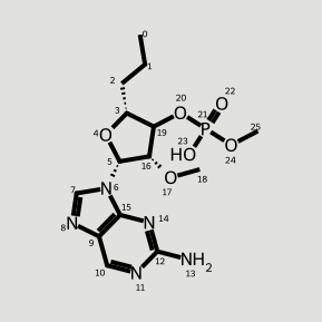 CCC[C@H]1O[C@@H](n2cnc3cnc(N)nc32)[C@@H](OC)C1OP(=O)(O)OC